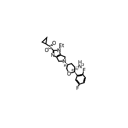 CCn1c(S(=O)(=O)C2CC2)nc2c1CN([C@H]1CO[C@H](c3cc(F)ccc3F)[C@@H](N)C1)C2